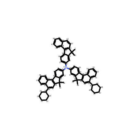 CC1(C)c2cc(N(c3ccc4c(c3)C(C)(C)c3cc(C5CCCCC5)c5ccccc5c3-4)c3ccc4c(c3)C(C)(C)c3cc(C5CCCCC5)c5ccccc5c3-4)ccc2-c2c1ccc1ccccc21